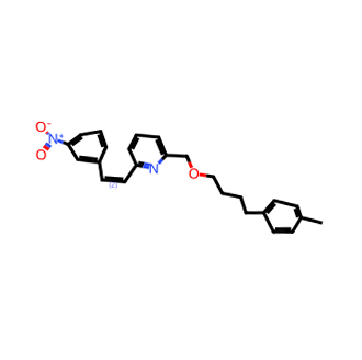 Cc1ccc(CCCCOCc2cccc(/C=C\c3cccc([N+](=O)[O-])c3)n2)cc1